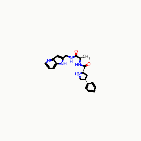 C[C@H](NC(=O)[C@H]1C[C@H](c2ccccc2)CN1)C(=O)NCc1cc2ncccc2[nH]1